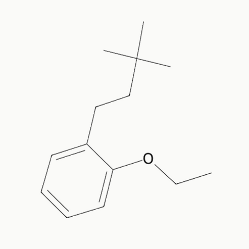 CCOc1ccccc1CCC(C)(C)C